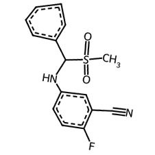 CS(=O)(=O)C(Nc1ccc(F)c(C#N)c1)c1ccccc1